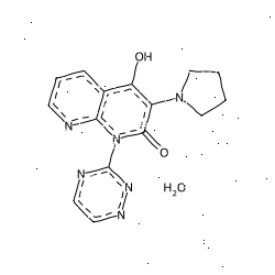 O.O=c1c(N2CCCC2)c(O)c2cccnc2n1-c1nccnn1